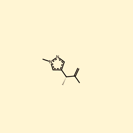 C=C(C)[C@H](C)c1cnn(C)c1